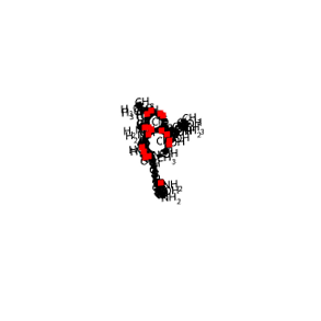 CN[C@H](CC(C)C)C(=O)N[C@H]1C(=O)C[C@@H](CC(N)=O)C(=O)N[C@H]2C(=O)C[C@@H](C(N)=O)c3ccc(O)c(c3)-c3c(O)cc(O)cc3C(C(=O)CCCOCCOCC(=O)Oc3ccc(N)c(O)c3C(N)=O)NC(C)C[C@H](O)c3ccc(c(Cl)c3)Oc3cc2cc(c3OC2C[C@@H](CO)[C@@H](O)[C@H](O)[C@@H]2O[C@@H]2C[C@](C)(N)[C@H](O)[C@@H](C)O2)Oc2ccc(cc2Cl)[C@H]1O